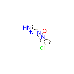 Cc1[nH]cnc1CN1Cc2cc3c(Cl)cccc3n2C1=O